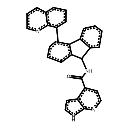 O=C(NC1c2ccccc2-c2c(-c3cccc4cccnc34)cccc21)c1ccnc2[nH]ccc12